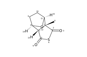 C[C@@]12C(=O)SC(=O)[C@@H]1[C@H]1CC[C@@H]2O1